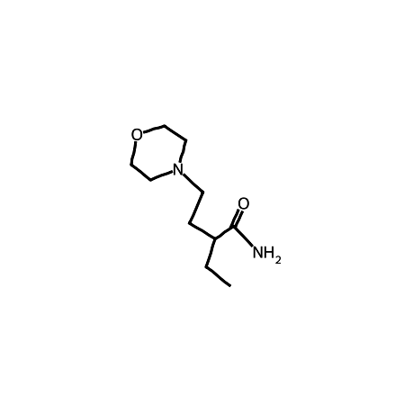 CCC(CCN1CCOCC1)C(N)=O